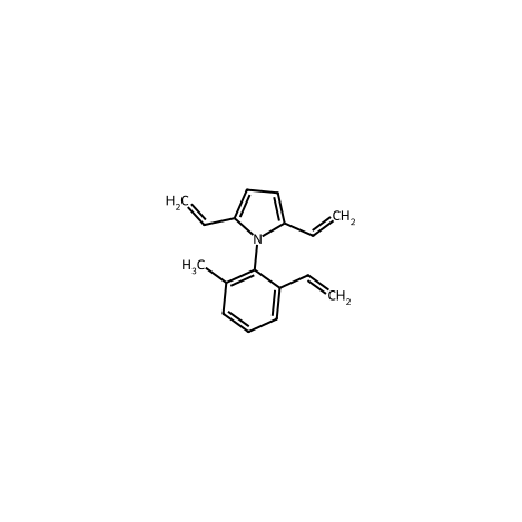 C=Cc1cccc(C)c1-n1c(C=C)ccc1C=C